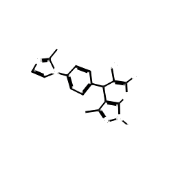 CCc1nn(CC)c2c1C(c1ccc(-n3ccnc3C)cc1)C(C#N)=C(N)O2